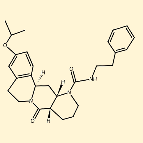 CC(C)Oc1ccc2c(c1)CCN1C(=O)[C@H]3CCCN(C(=O)NCCc4ccccc4)[C@H]3C[C@H]21